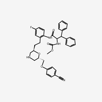 COC(=O)NC(C(=O)Nc1ccc(F)cc1CC[C@@H]1CNC[C@@H](COc2ccc(C#N)cc2)O1)C(c1ccccc1)c1ccccc1